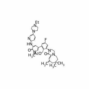 C=C1/C=C2/C(=O)N(c3cc(F)cc(-c4cc(Nc5ccc(N6CCN(CC)CC6)cn5)c(=O)n(C)c4)c3COC(C)=O)CCN2CCC(C)(C)C1